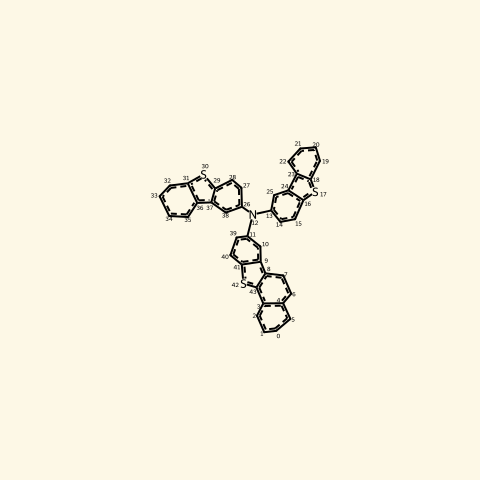 c1ccc2c(c1)ccc1c3cc(N(c4ccc5sc6ccccc6c5c4)c4ccc5sc6ccccc6c5c4)ccc3sc21